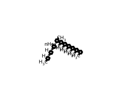 CCCCCCc1ccc(C)cc1.Cc1ccccc1.Cc1ccccc1.Cc1ccccc1.Cc1ccccc1.Cc1ccccc1.Cc1ccccc1.Cc1ccccc1.Cc1ccccc1.Cc1ccccc1